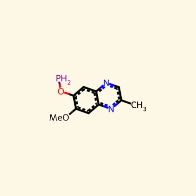 COc1cc2nc(C)cnc2cc1OP